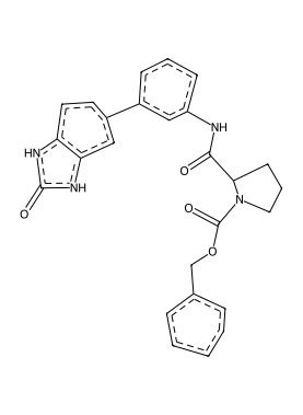 O=C(Nc1cccc(-c2ccc3[nH]c(=O)[nH]c3c2)c1)C1CCCN1C(=O)OCc1ccccc1